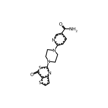 NC(=O)c1ccc(N2CCN(c3nc4ccsc4c(=O)s3)CC2)nc1